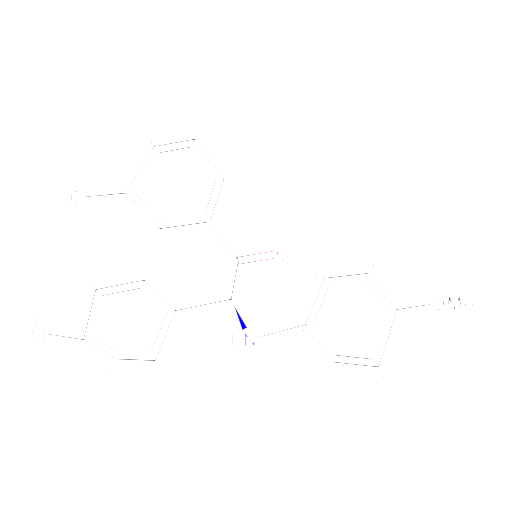 COc1ccc(N[C@H](C(=O)c2cccc(Cl)c2)c2ccc(Cl)cc2)cc1